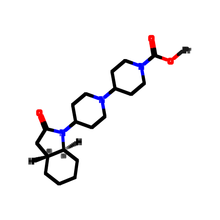 CC(C)OC(=O)N1CCC(N2CCC(N3C(=O)C[C@H]4CCCC[C@@H]43)CC2)CC1